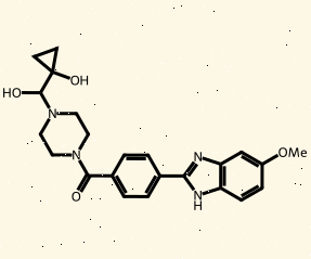 COc1ccc2[nH]c(-c3ccc(C(=O)N4CCN(C(O)C5(O)CC5)CC4)cc3)nc2c1